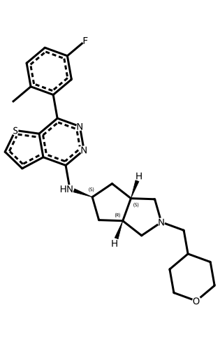 Cc1ccc(F)cc1-c1nnc(N[C@H]2C[C@@H]3CN(CC4CCOCC4)C[C@@H]3C2)c2ccsc12